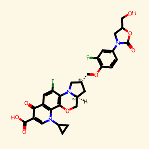 O=C(O)c1cn(C2CC2)c2c3c(c(F)cc2c1=O)N1C[C@H](COc2ccc(N4CC(CO)OC4=O)cc2F)C[C@H]1CO3